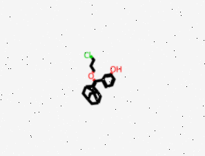 Oc1cccc(C(OCCCCl)=C2C3CC4CC(C3)CC2C4)c1